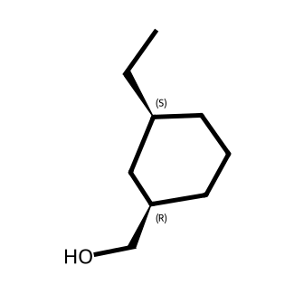 CC[C@H]1CCC[C@@H](CO)C1